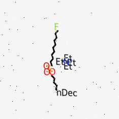 CCCCCCCCCCCCCCCOS(=O)(=O)CCCCCCCCCCCF.CC[N+](CC)(CC)CC